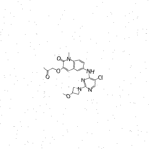 COC1CN(c2ncc(Cl)c(Nc3ccc4c(c3)cc(OCC(C)=O)c(=O)n4C)n2)C1